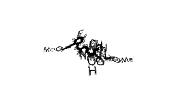 COCC#Cc1cc(F)ccc1Cc1cnc2c(O)c(C(=O)NCCOC)c(=O)n(C)c2c1